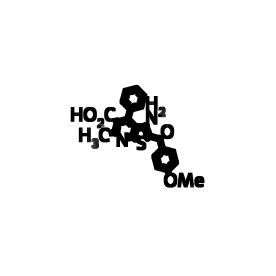 COc1ccc(C(=O)c2sc3nc(C)c(C(=O)O)c(-c4ccccc4)c3c2N)cc1